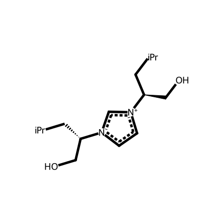 CC(C)C[C@@H](CO)n1cc[n+]([C@H](CO)CC(C)C)c1